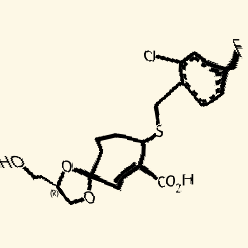 O=C(O)C1=CC2(CCC1SCc1ccc(F)cc1Cl)OC[C@@H](CO)O2